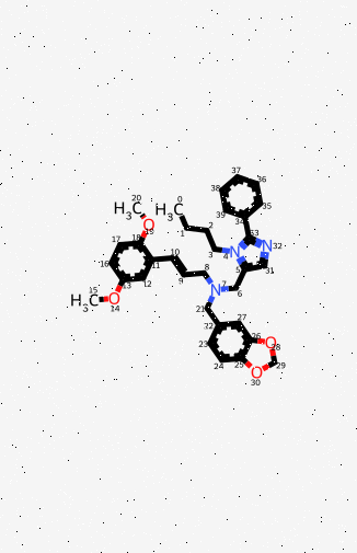 CCCCn1c(CN(CC=Cc2cc(OC)ccc2OC)Cc2ccc3c(c2)OCO3)cnc1-c1ccccc1